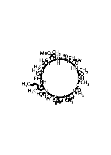 C=C1C(=O)N(C)[C@@H](CC(C)(C)OC)C(=O)N[C@@H](C(C)C)C(=O)N(C)[C@@H](CC(C)C)C(=O)N[C@@H](C)C(=O)N[C@H](C)CC(=O)N(C)[C@H](CC(C)C)C(=O)N(C)[C@@H](CC(C)C)C(=O)N(C)[C@@H](C(C)C)C(=O)N(C)[C@@H]([C@H](O)[C@H](C)C/C=C/C)C(=O)N[C@@H](CC)C(=O)N1C